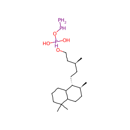 C[C@H](CCO[PH](O)(O)OPP)CC[C@H]1C2CCCC(C)(C)C2CC[C@@H]1C